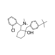 CN(C)C(c1ccccc1Cl)C1CCCCC1(O)Cc1ccc(C(C)(C)C)cc1